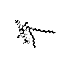 C=CCO[C@H]1O[C@H](CO[Si](C)(C)C(C)(C)C)[C@@H](OCC=C)[C@H](OCC[C@H](CCCCCCCCCCC)OCCCCCCCCCCCC)[C@@H]1NC(=O)OCC(Cl)(Cl)Cl